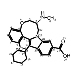 CN[C@H]1COc2cccc(C)c2-c2c(C3CCCCC3)c3ccc(C(=O)O)cc3n2C1